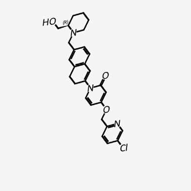 O=c1cc(OCc2ccc(Cl)cn2)ccn1C1=Cc2ccc(CN3CCCC[C@@H]3CO)cc2CC1